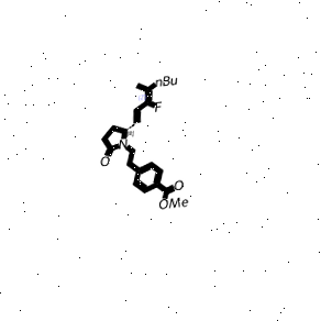 CCCC/C(C)=C(\F)C=C[C@H]1CCC(=O)N1CCc1ccc(C(=O)OC)cc1